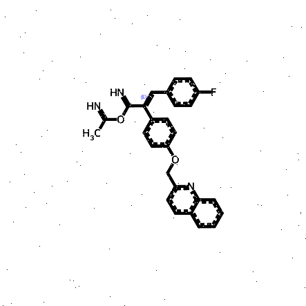 CC(=N)OC(=N)/C(=C/c1ccc(F)cc1)c1ccc(OCc2ccc3ccccc3n2)cc1